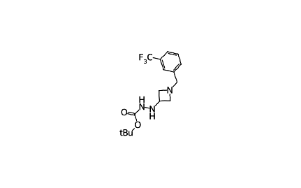 CC(C)(C)OC(=O)NNC1CN(Cc2cccc(C(F)(F)F)c2)C1